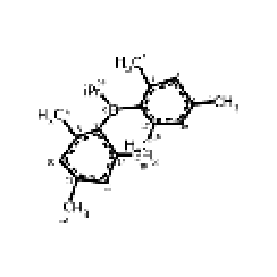 Cc1cc(C)c(B(c2c(C)cc(C)cc2C)C(C)C)c(C)c1